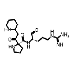 N=C(N)NCCC[C@@H](C=O)NC(=O)[C@]1(C(=O)CC2CCCCN2)CCCN1